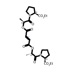 CCOC(=O)[C@@H]1CCCN1C(=O)[C@H](C)OC(=O)/C=C/C(=O)O[C@@H](C)C(=O)N1CCC[C@H]1C(=O)OCC